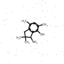 Cc1cc(C)c2c(c1O)C(N)C(C)(C)C2